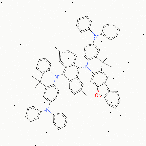 Cc1ccc2c(N3c4ccc(N(c5ccccc5)c5ccccc5)cc4C(C)(C)c4cc5c(cc43)oc3ccccc35)c3cc(C)ccc3c(N3c4ccccc4C(C)(C)c4cc(N(c5ccccc5)c5ccccc5)ccc43)c2c1